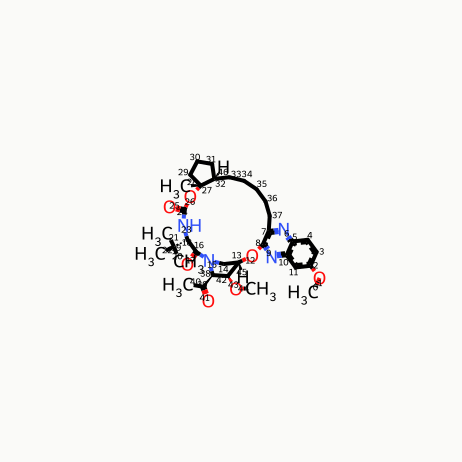 COc1ccc2nc3c(nc2c1)O[C@H]1CN(C(=O)[C@H](C(C)(C)C)NC(=O)O[C@]2(C)CCC[C@H]2CCCCC3)[C@H](C(C)=O)[C@@H]1OC